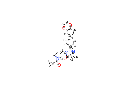 O=C(C1CC1)N1CC[C@@H](CN2C(=O)C3(CC3)N=C2c2ccc(C3=CC4=C(CC3)OCCO4)cc2)C1